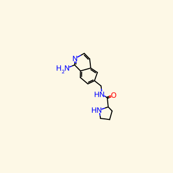 Nc1nccc2cc(CNC(=O)C3CCCN3)ccc12